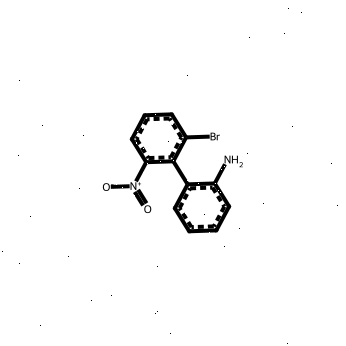 Nc1ccccc1-c1c(Br)cccc1[N+](=O)[O-]